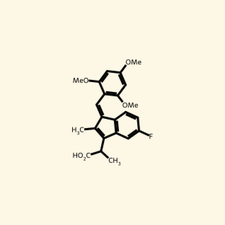 COc1cc(OC)c(C=C2C(C)=C(C(C)C(=O)O)c3cc(F)ccc32)c(OC)c1